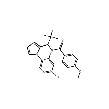 COc1ccc(C(=O)N2c3cc(Br)ccc3-n3cccc3C2C(C)(C)C)cc1